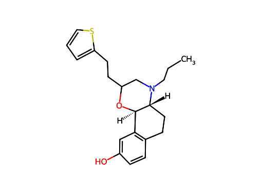 CCCN1CC(CCc2cccs2)O[C@@H]2c3cc(O)ccc3CC[C@H]21